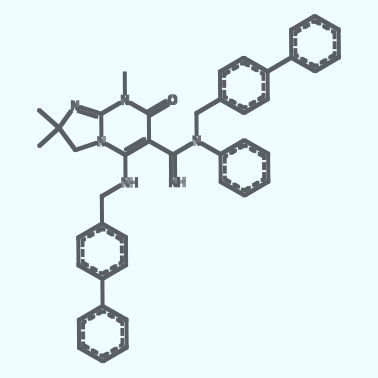 CN1C(=O)C(C(=N)N(Cc2ccc(-c3ccccc3)cc2)c2ccccc2)=C(NCc2ccc(-c3ccccc3)cc2)N2CC(C)(C)N=C12